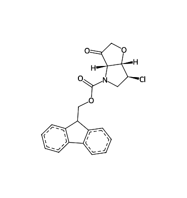 O=C1CO[C@H]2[C@@H]1N(C(=O)OCC1c3ccccc3-c3ccccc31)C[C@@H]2Cl